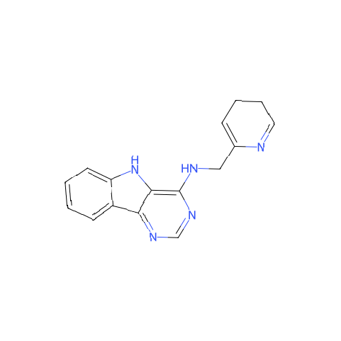 C1=NC(CNc2ncnc3c2[nH]c2ccccc23)=CCC1